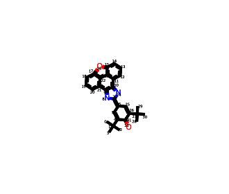 CC(C)(C)C1=CC(=C2N=c3c(c4cccc5oc6cccc3c6c54)=N2)C=C(C(C)(C)C)C1=O